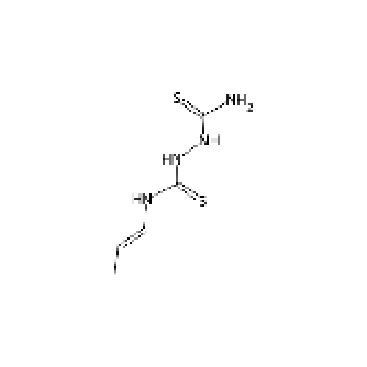 CC=CNC(=S)NNC(N)=S